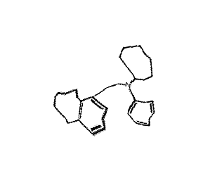 c1ccc(N(Cc2cccc3c2CCCC3)C2CCCCC2)cc1